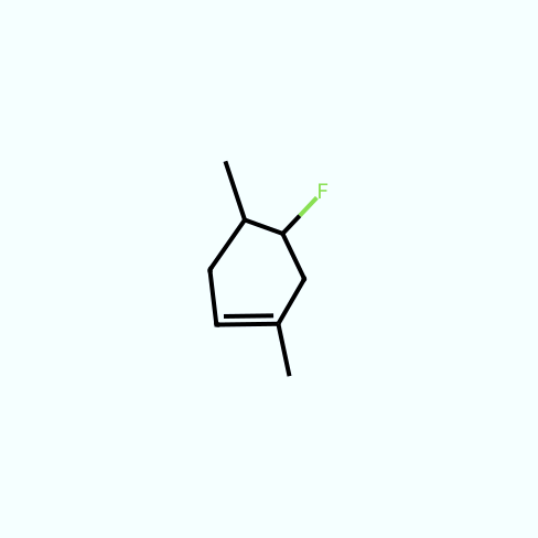 CC1=CCC(C)C(F)C1